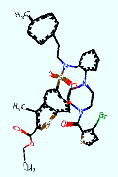 CCOC(=O)c1sc2ccc(S(=O)(=O)N(CCc3ccc(C)cc3)c3ccccc3N3CCN(C(=O)c4sccc4Br)CC3)cc2c1C